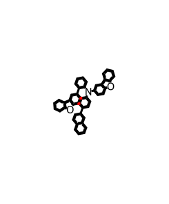 c1ccc(N(c2ccc(-c3ccc4ccccc4c3)cc2)c2ccc3oc4ccccc4c3c2)c(-c2ccc3oc4ccccc4c3c2)c1